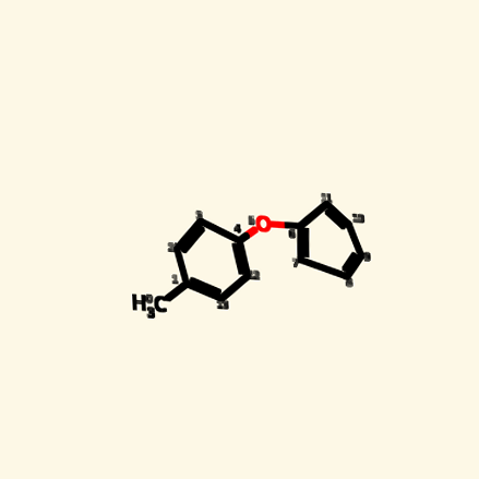 Cc1[c]cc(Oc2ccccc2)cc1